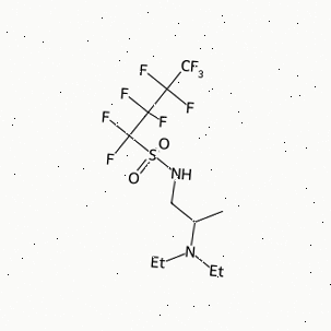 CCN(CC)C(C)CNS(=O)(=O)C(F)(F)C(F)(F)C(F)(F)C(F)(F)F